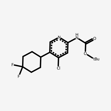 CC(C)(C)OC(=O)Nc1cc(Cl)c(C2CCC(F)(F)CC2)cn1